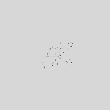 CC(C)[C@H](N)C(=O)N[C@@H](C)C(=O)N[C@@H](CC(=O)O)C(=O)C(F)(C(=O)OCc1ccccc1)C(=O)C(F)(C(=O)OCc1ccccc1)C(=O)[C@H](CC(=O)O)NC(=O)[C@H](C)NC(=O)[C@@H](N)C(C)C